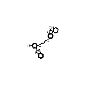 O=C(O)C1(c2ccc(OCCCOc3ccc(Cl)cc3-n3nc4ccccc4n3)cc2)CCCCC1